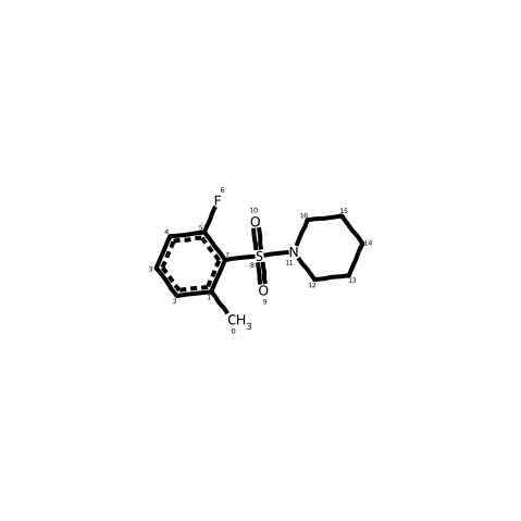 Cc1cccc(F)c1S(=O)(=O)N1CCCCC1